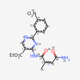 CCOC(=O)c1cnc(-c2cccc([N+](=O)[O-])c2)nc1NC(=O)/C(C)=C\C(N)=O